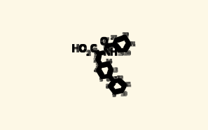 O=C(O)C(=Cc1ccc(-c2ccccc2)cc1)NC(=O)c1ccccc1